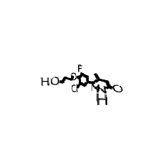 CC1CC(=O)NN=C1c1cc(F)c(OCCCO)c(Cl)c1